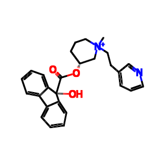 C[N+]1(CCc2cccnc2)CCC[C@@H](OC(=O)C2(O)c3ccccc3-c3ccccc32)C1